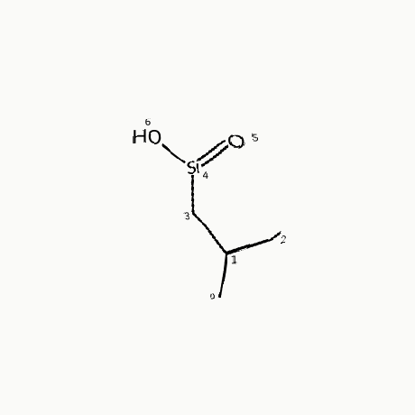 CC(C)C[Si](=O)O